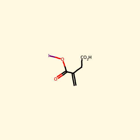 C=C(CC(=O)O)C(=O)OI